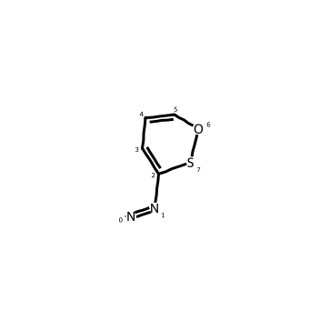 [N]=NC1=CC=COS1